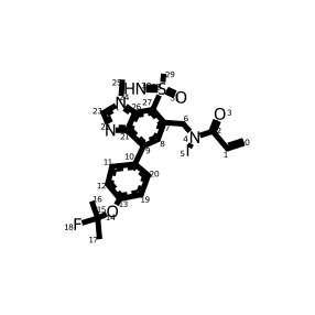 C=CC(=O)N(I)Cc1cc(-c2ccc(OC(C)(C)F)cc2)c2ncn(C)c2c1S(C)(=N)=O